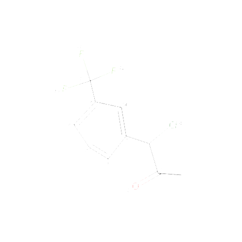 CC(=O)C(Cl)c1cccc(C(F)(F)F)c1